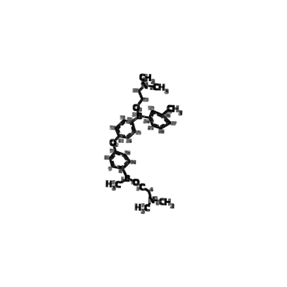 CB(OCCN(C)C)c1ccc(Oc2ccc(B(OCCN(C)C)c3cccc(C)c3)cc2)cc1